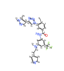 Cc1ccc(C(=O)Nc2cc(N(C)CCc3ccncc3)cc(C(F)(F)F)c2)cc1-n1cc(-c2cnn(C)c2C)nn1